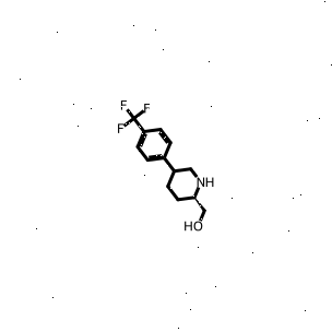 OC[C@H]1CCC(c2ccc(C(F)(F)F)cc2)CN1